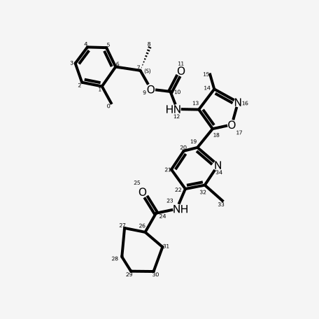 Cc1ccccc1[C@H](C)OC(=O)Nc1c(C)noc1-c1ccc(NC(=O)C2CCCCC2)c(C)n1